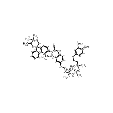 COc1cc(CCC[Si](C)(C)O[Si](C)(C)O[Si](C)(C)CCCc2ccc(OC(=O)Oc3ccc(C4(c5ccccc5)CCC(C)(C)C(C)C4)cc3C)c(OC)c2)ccc1OC(C)=O